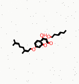 CCC=CCCOc1c(O)c2ccc(OCC=C(C)CCC=C(C)C)cc2oc1=O